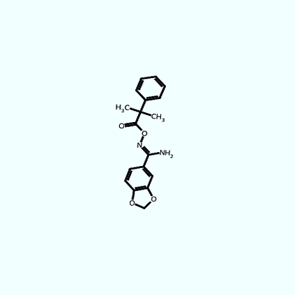 CC(C)(C(=O)O/N=C(\N)c1ccc2c(c1)OCO2)c1ccccc1